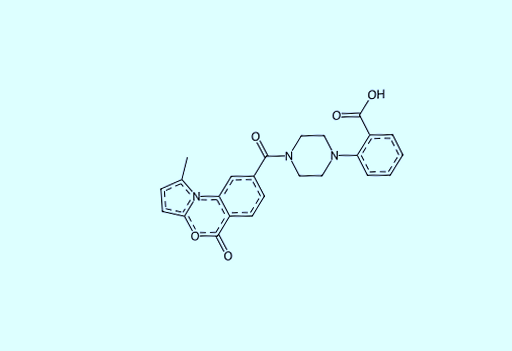 Cc1ccc2oc(=O)c3ccc(C(=O)N4CCN(c5ccccc5C(=O)O)CC4)cc3n12